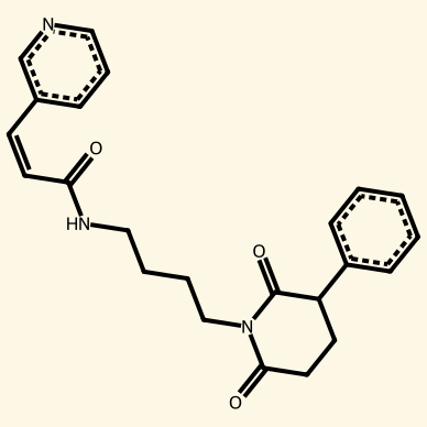 O=C(/C=C\c1cccnc1)NCCCCN1C(=O)CCC(c2ccccc2)C1=O